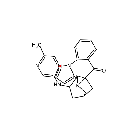 Cc1cnc(NC2CC3CCC2N(C(=O)c2ccccc2-n2nccn2)C3)cn1